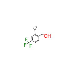 OCc1ccc(C(F)(F)F)cc1C1CC1